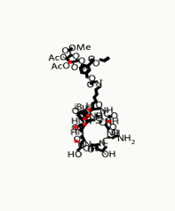 C=CCOC(=O)c1cc(COC(=O)N(C)CCCCCCC23Oc4ccc5c6c([nH]c5c4)[S+]([O-])C[C@H](NC(=O)CNC2=O)C(=O)N[C@@H](CC(N)=O)CN2C[C@H](O)C[C@H]2C(=O)N[C@@H]([C@@H](C)[C@@H](O)CO)C(=O)N[C@@H](C6)C(=O)NCC(=O)N[C@H]3[C@@H](C)CC)ccc1O[C@@H]1O[C@H](C(=O)OC)[C@@H](OC(C)=O)[C@H](OC(C)=O)[C@H]1OC(C)=O